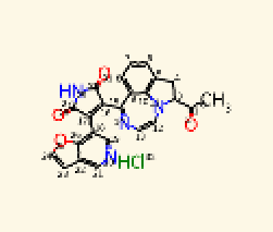 CC(=O)C1Cc2cccc3c2N1C=CN=C3C1=C(c2cncc3ccoc23)C(=O)NC1=O.Cl